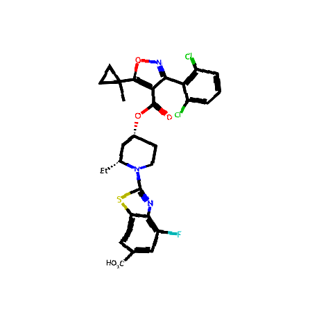 CC[C@@H]1C[C@H](OC(=O)c2c(-c3c(Cl)cccc3Cl)noc2C2(C)CC2)CCN1c1nc2c(F)cc(C(=O)O)cc2s1